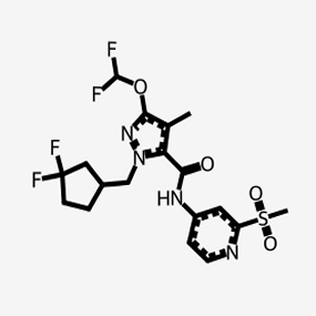 Cc1c(OC(F)F)nn(CC2CCC(F)(F)C2)c1C(=O)Nc1ccnc(S(C)(=O)=O)c1